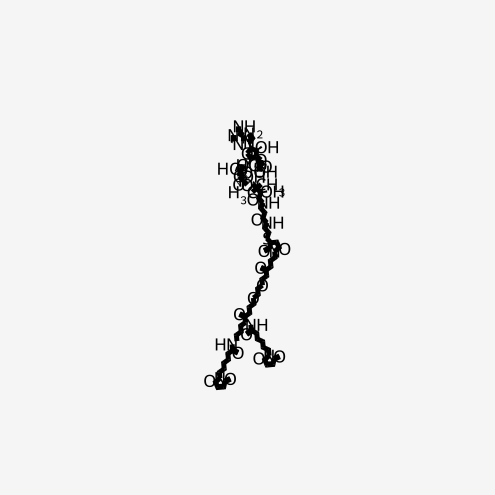 CC(C)(COP(=O)(O)OP(=O)(O)OC[C@H]1O[C@@H](n2cnc3c(N)ncnc32)[C@@H](O)C1OP(=O)(O)O)[C@@H](O)C(=O)NCCC(=O)NCCSC1CC(=O)N(CCCC(=O)CCOCCOCCCC(=O)C(CCCCNC(=O)CCCCCN2C(=O)C=CC2=O)NC(=O)CCCCCN2C(=O)C=CC2=O)C1=O